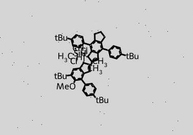 COc1c(C(C)(C)C)cc2c(c1-c1ccc(C(C)(C)C)cc1)C=C(C)[CH]2[Hf]([Cl])([Cl])([CH]1C(C)=Cc2c(-c3ccc(C(C)(C)C)cc3)c3c(c(-c4ccc(C(C)(C)C)cc4)c21)CCC3)[SiH](C)C